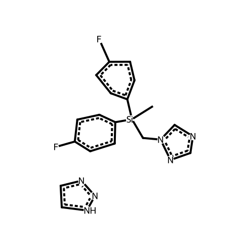 C[Si](Cn1cncn1)(c1ccc(F)cc1)c1ccc(F)cc1.c1c[nH]nn1